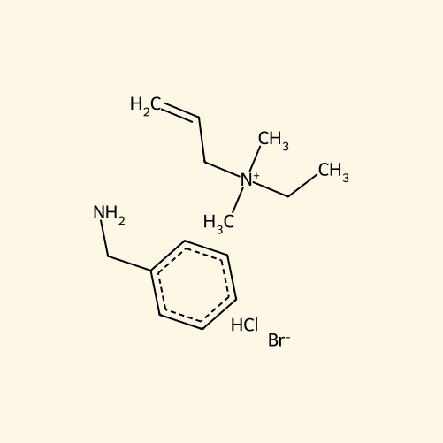 C=CC[N+](C)(C)CC.Cl.NCc1ccccc1.[Br-]